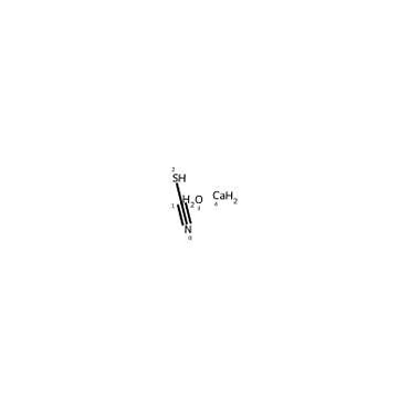 N#CS.O.[CaH2]